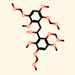 COCOc1cc(OC)c(OCOC)c(CC(O)c2c(OC)c(OCOC)cc(OC)c2OCOC)c1OC